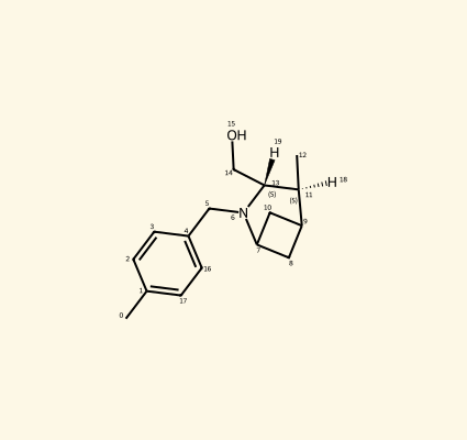 Cc1ccc(CN2C3CC(C3)[C@H](C)[C@H]2CO)cc1